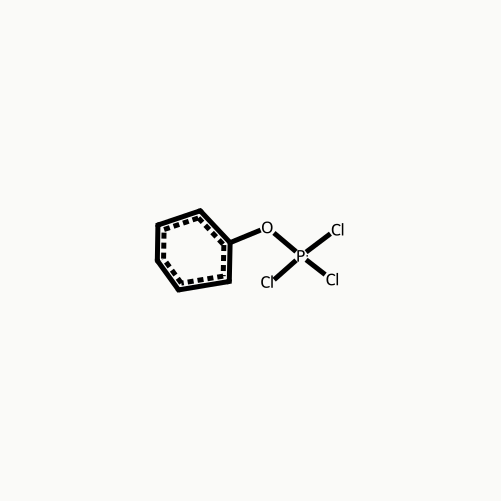 Cl[P](Cl)(Cl)Oc1ccccc1